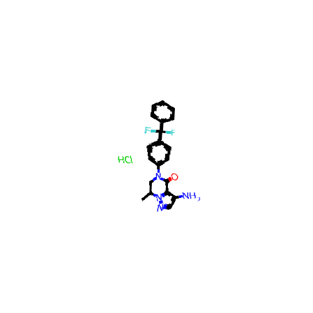 CC1CN(c2ccc(C(F)(F)c3ccccc3)cc2)C(=O)c2c(N)cnn21.Cl